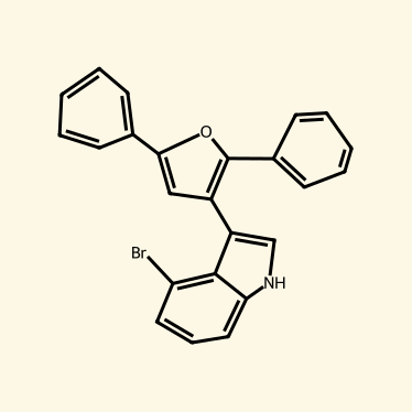 Brc1cccc2[nH]cc(-c3cc(-c4ccccc4)oc3-c3ccccc3)c12